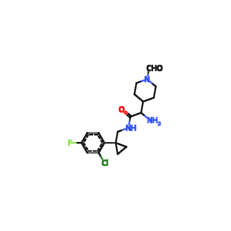 NC(C(=O)NCC1(c2ccc(F)cc2Cl)CC1)C1CCN(C=O)CC1